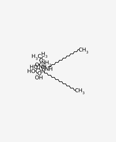 CCCCCCCCCCCCCCCCCCNC(=O)N(CCCCCCCCCCCCCCCCCC)[C@@H]1O[C@H](CO)[C@@H](O)[C@H](O)[C@H]1NC(=O)[C@@H](N)CC(C)C